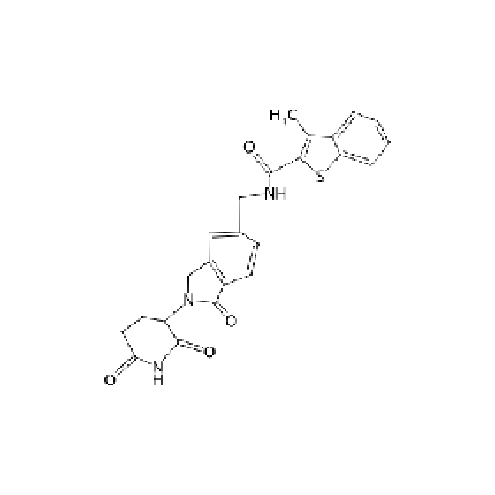 Cc1c(C(=O)NCc2ccc3c(c2)CN(C2CCC(=O)NC2=O)C3=O)sc2ccccc12